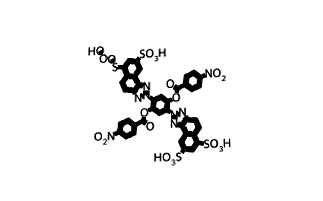 O=C(Oc1cc(-n2nc3ccc4c(S(=O)(=O)O)cc(S(=O)(=O)O)cc4c3n2)c(OC(=O)c2ccc([N+](=O)[O-])cc2)cc1-n1nc2ccc3c(SOOO)cc(S(=O)(=O)O)cc3c2n1)c1ccc([N+](=O)[O-])cc1